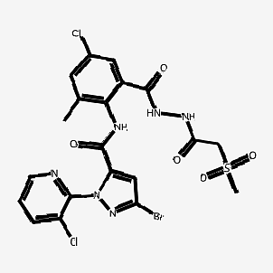 Cc1cc(Cl)cc(C(=O)NNC(=O)CS(C)(=O)=O)c1NC(=O)c1cc(Br)nn1-c1ncccc1Cl